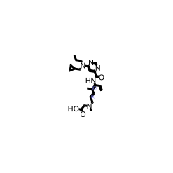 C=C/C(NC(=O)c1cc(N(CCC)CC2CC2)ncn1)=C(C)\C=C\CN(C)CC(=O)O